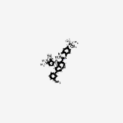 CCc1cc(O[Si](C)(C)C(C)(C)C)ccc1/N=C(\N)c1cnn2cc(-c3cccc(N)c3)cc2c1N[C@@H]1CC[C@](C)(N)C1(C)C